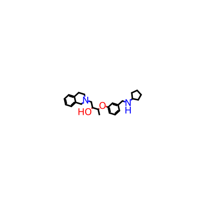 CC(Oc1cccc(CNC2CCCC2)c1)C(O)CN1CCc2ccccc2C1